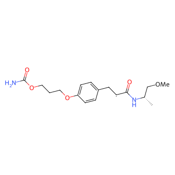 COC[C@H](C)NC(=O)[CH]Cc1ccc(OCCCOC(N)=O)cc1